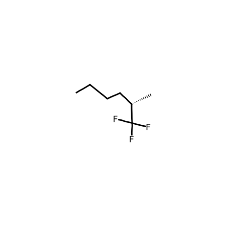 CCCC[C@H](C)C(F)(F)F